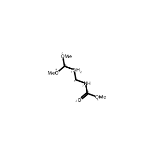 COC(=O)NC[SiH2]C(OC)OC